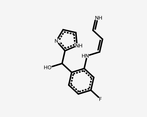 N=C/C=C\Nc1cc(F)ccc1C(O)c1ncc[nH]1